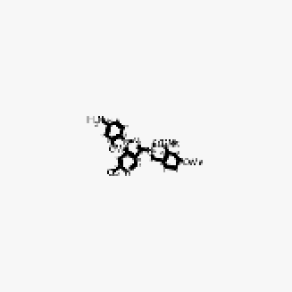 COc1ccc(CN(C(=O)O)c2nn(-c3ccc(N)cc3OC)c3cc(Cl)ncc23)c(OC)c1